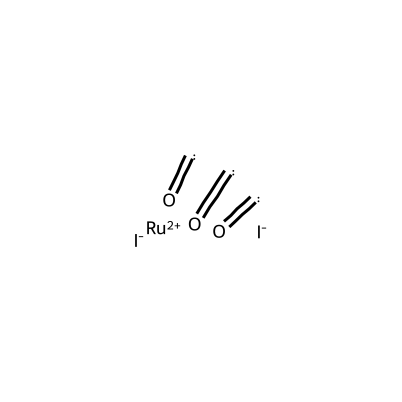 [C]=O.[C]=O.[C]=O.[I-].[I-].[Ru+2]